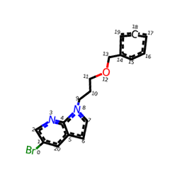 Brc1cnc2c(ccn2CCCOCc2ccccc2)c1